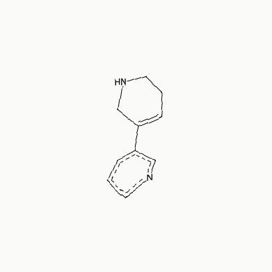 C1=C(c2cccnc2)CNCC1